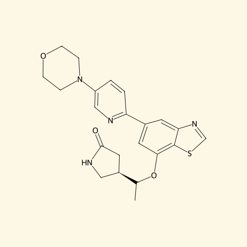 CC(Oc1cc(-c2ccc(N3CCOCC3)cn2)cc2ncsc12)[C@H]1CNC(=O)C1